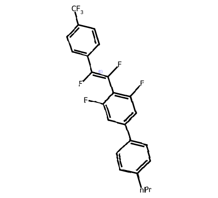 CCCc1ccc(-c2cc(F)c(/C(F)=C(\F)c3ccc(C(F)(F)F)cc3)c(F)c2)cc1